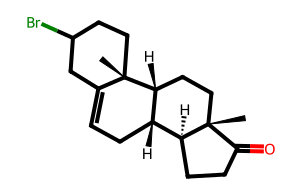 C[C@]12CCC(Br)CC1=CC[C@@H]1[C@H]2CC[C@]2(C)C(=O)CC[C@@H]12